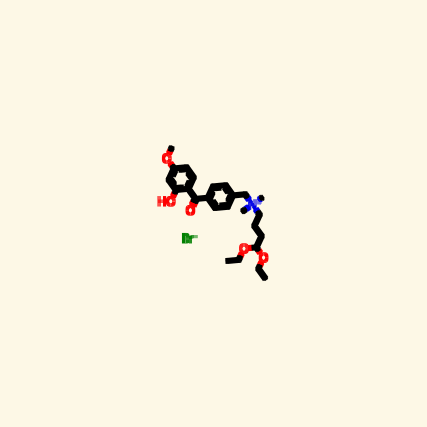 CCOC(CCC[N+](C)(C)Cc1ccc(C(=O)c2ccc(OC)cc2O)cc1)OCC.[Br-]